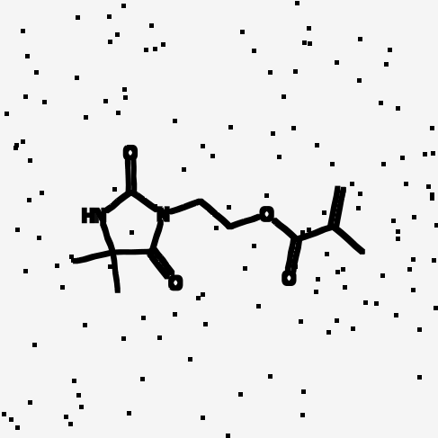 C=C(C)C(=O)OCCN1C(=O)NC(C)(C)C1=O